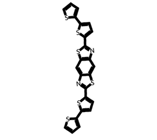 c1csc(-c2ccc(-c3nc4cc5sc(-c6ccc(-c7cccs7)s6)nc5cc4s3)s2)c1